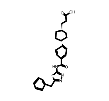 O=C(O)CC[C@H]1CC[C@H](c2ccc(C(=O)Nc3nnc(Cc4ccccc4)s3)cc2)CC1